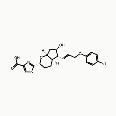 O=C(O)c1csc([C@H]2CC[C@@H]3[C@@H](/C=C/COc4ccc(Cl)cc4)[C@H](O)C[C@@H]3O2)n1